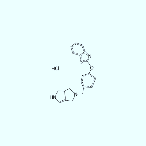 C1=C2CN(Cc3ccc(Oc4nc5ccccc5s4)cc3)CC2CN1.Cl